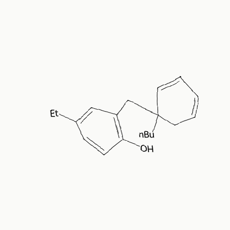 CCCCC1(Cc2cc(CC)ccc2O)C=CC=CC1